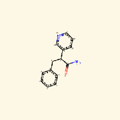 NC(=O)C(Cc1ccccc1)c1cccnc1